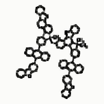 CC1(C)c2ccc(-c3c4ccccc4c(-c4ccc5c(c4)oc4ccccc45)c4ccccc34)cc2-c2c1c1c3ccccc3sc1c1cc(CC3(C)c4cc(-c5c6ccccc6c(-c6ccc7oc8ccccc8c7c6)c6ccccc56)ccc4-c4c3ccc3c4ccc4c5ccccc5sc34)ccc21